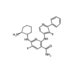 NC(=O)c1cc(F)c(NC2CCCC[C@@H]2N)nc1Nc1ccnc(-c2ccccc2)c1F